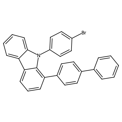 Brc1ccc(-n2c3ccccc3c3cccc(-c4ccc(-c5ccccc5)cc4)c32)cc1